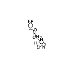 Nc1c(CN2CCN(C(=O)CNC(=O)C3CC34CCC(F)(F)CC4)CC2)ccnc1Cl